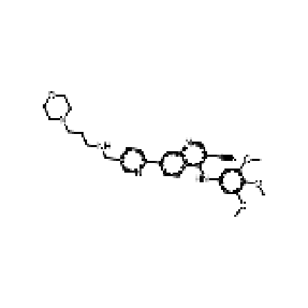 COc1cc(Nc2c(C#N)cnc3cc(-c4ccc(CNCCCN5CCOCC5)cn4)ccc23)cc(OC)c1OC